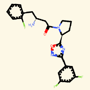 N[C@@H](CC(=O)N1CCC[C@H]1c1nc(-c2cc(F)cc(F)c2)no1)Cc1ccccc1F